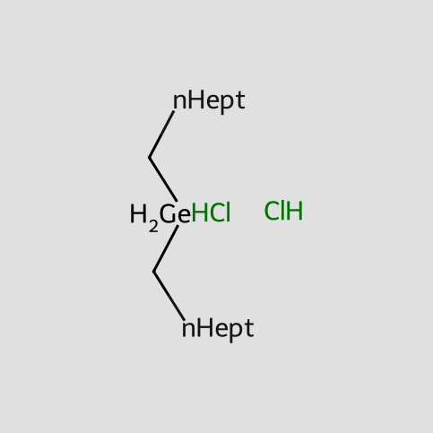 CCCCCCC[CH2][GeH2][CH2]CCCCCCC.Cl.Cl